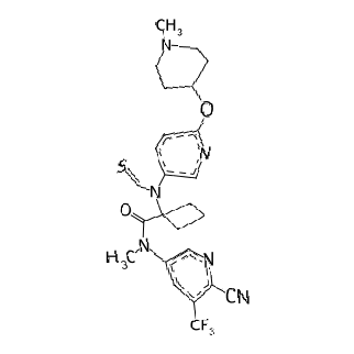 CN1CCC(Oc2ccc(N(C=S)C3(C(=O)N(C)c4cnc(C#N)c(C(F)(F)F)c4)CCC3)cn2)CC1